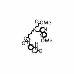 COC(=O)CCN(CCCC1CN(c2ccc3c(c2)NC(=O)CS3)C(=O)O1)Cc1ccnc2ccc(OC)nc12